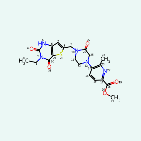 CCn1c(=O)[nH]c2cc(CN3CCN(c4ccc(C(=O)OC)nc4C)CC3=O)sc2c1=O